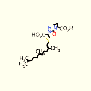 CC(C)=CCC/C(C)=C/CC/C(C)=C/CSC[C@H](NC(=O)N1CCC1C(=O)O)C(=O)O